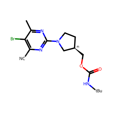 Cc1nc(N2CC[C@@H](COC(=O)NC(C)(C)C)C2)nc(C#N)c1Br